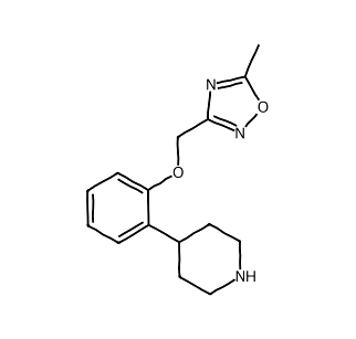 Cc1nc(COc2ccccc2C2CCNCC2)no1